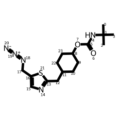 CC(C)(C)NC(=O)OC1CCC(Cc2ncc(CN=[N+]=[N-])s2)CC1